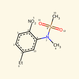 CCc1ccc([N+](=O)[O-])c(N(C)S(C)(=O)=O)c1